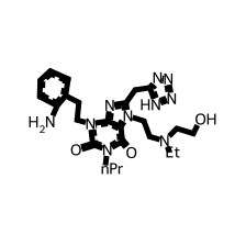 CCCn1c(=O)c2c(nc(Cc3nnn[nH]3)n2CCN(CC)CCO)n(CCc2ccccc2N)c1=O